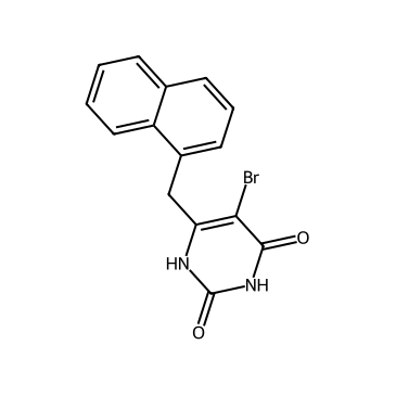 O=c1[nH]c(Cc2cccc3ccccc23)c(Br)c(=O)[nH]1